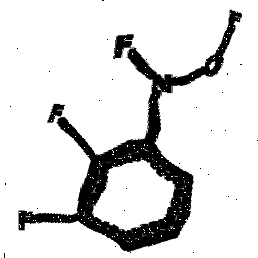 FON(F)c1cccc(F)c1F